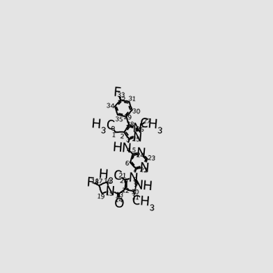 CCc1c(Nc2cc(N3NC(C)C(C(=O)N4CC(F)C4)=C3C)ncn2)nn(C)c1-c1ccc(F)cc1